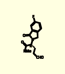 CNC(=O)[C@@H](CCC=O)N1Cc2ccc(F)cc2C1=O